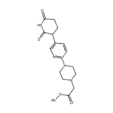 CC(C)(C)OC(=O)CN1CCN(c2ccc(C3CCC(=O)NC3=O)cn2)CC1